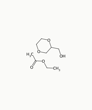 CCOC(C)=O.OCC1COCCO1